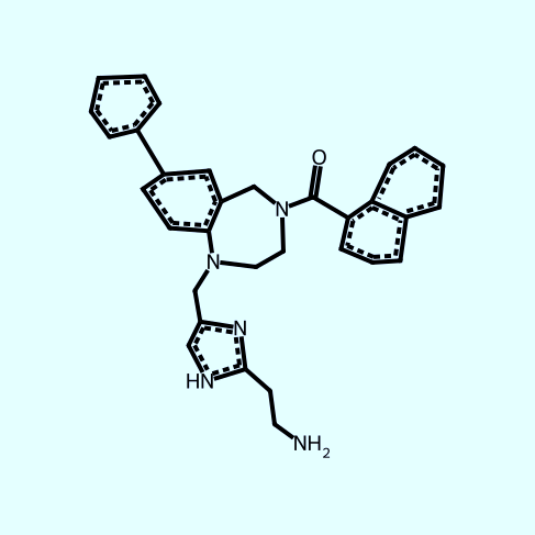 NCCc1nc(CN2CCN(C(=O)c3cccc4ccccc34)Cc3cc(-c4ccccc4)ccc32)c[nH]1